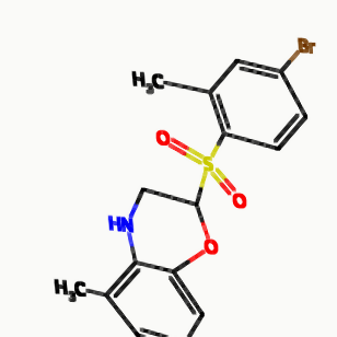 Cc1cc(Br)ccc1S(=O)(=O)C1CNc2c(C)cccc2O1